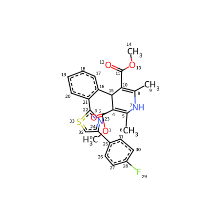 COC(=O)C1=C(C)NC(C)=C(C(=O)OC)C1c1ccccc1-c1nc(-c2ccc(F)cc2)cs1